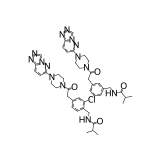 CC(C)C(=O)NCc1ccc(CC(=O)N2CCN(c3ccc4nncn4n3)CC2)cc1Cl.CC(C)C(=O)NCc1cccc(CC(=O)N2CCN(c3ccc4nncn4n3)CC2)c1